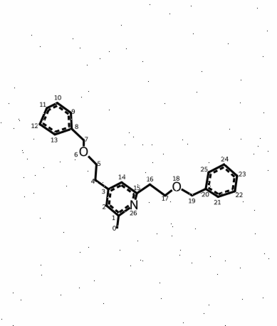 Cc1cc(CCOCc2ccccc2)cc(CCOCc2ccccc2)n1